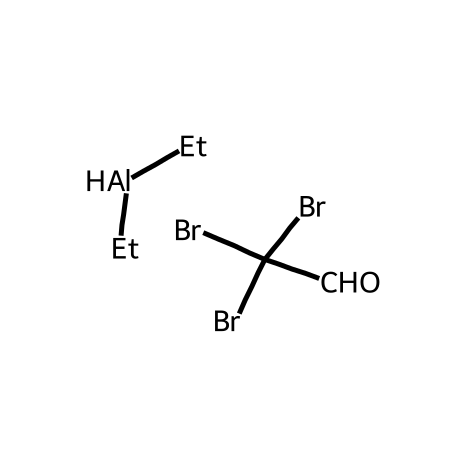 C[CH2][AlH][CH2]C.O=CC(Br)(Br)Br